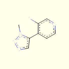 Cn1nncc1-c1ccncc1N